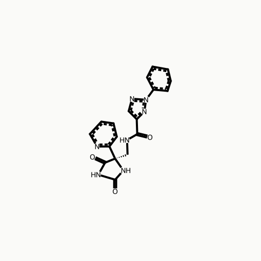 O=C1NC(=O)[C@@](CNC(=O)c2cnn(-c3ccccc3)n2)(c2ccccn2)N1